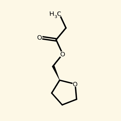 CCC(=O)OC[C@@H]1CCCO1